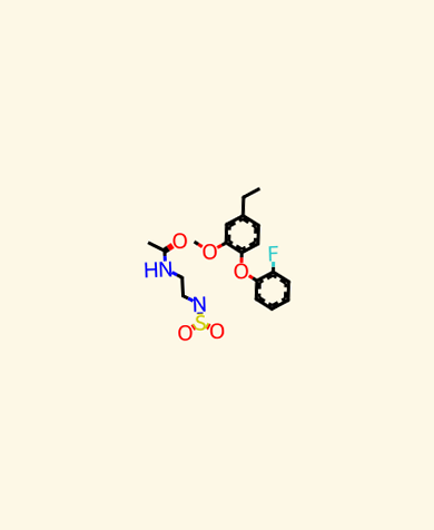 CC(=O)NCCN=S(=O)=O.CCc1ccc(Oc2ccccc2F)c(OC)c1